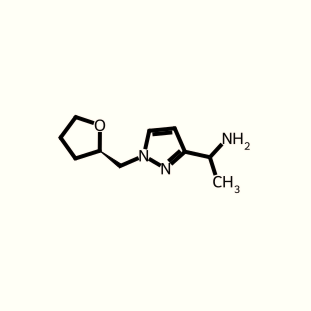 CC(N)c1ccn(C[C@H]2CCCO2)n1